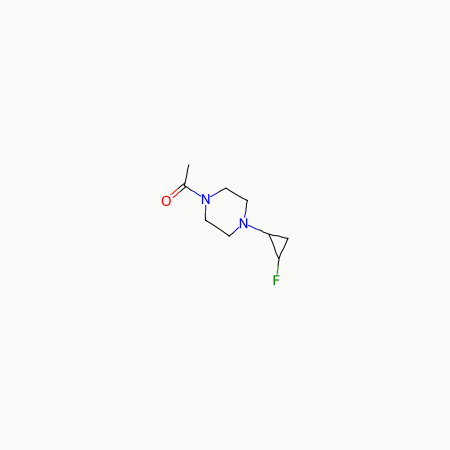 CC(=O)N1CCN(C2CC2F)CC1